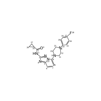 O=C(Nc1nc2cccc(N3CCN(c4ccc(F)cc4)CC3)n2n1)C1CC1